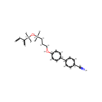 C=CC(=C)[Si](C)(C)O[Si](C)(C)CCCOc1ccc(-c2ccc(C#N)cc2)cc1